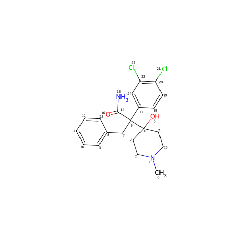 CN1CCC(O)(C(Cc2ccccc2)(C(N)=O)c2ccc(Cl)c(Cl)c2)CC1